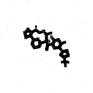 CC(=O)OC[C@@H](C)n1nnnc1-c1cccc(NC(=O)c2cc(-n3cnc(C(C)(C)C)c3)c(C)cc2F)n1